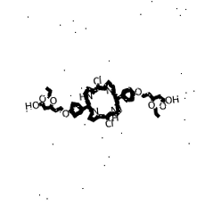 CCCOC(CCOc1ccc(-c2c3nc(c(Cl)c4ccc([nH]4)c(-c4ccc(OCCC(CC(=O)O)OCCC)cc4)c4nc(c(Cl)c5ccc2[nH]5)C=C4)C=C3)cc1)CC(=O)O